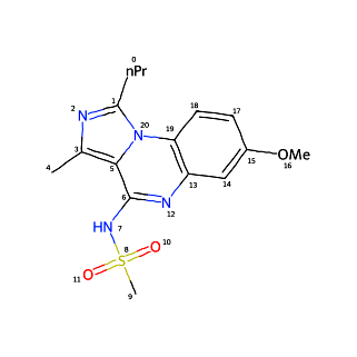 CCCc1nc(C)c2c(NS(C)(=O)=O)nc3cc(OC)ccc3n12